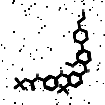 COc1cc(C2CCN(CCF)CC2)ccc1Nc1cc(Nc2cccc(NC(=O)OC(C)(C)C)c2)c(C(F)(F)F)cn1